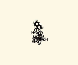 COP(=O)(O)OP(=O)(O)OP(=O)(O)O[C@H]1O[C@@H](n2ccc3ccccc3c2=O)[C@H](O)[C@@H]1O